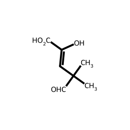 CC(C)(C=O)C=C(O)C(=O)O